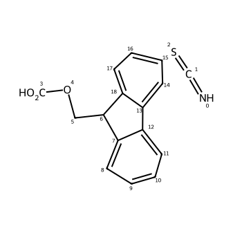 N=C=S.O=C(O)OCC1c2ccccc2-c2ccccc21